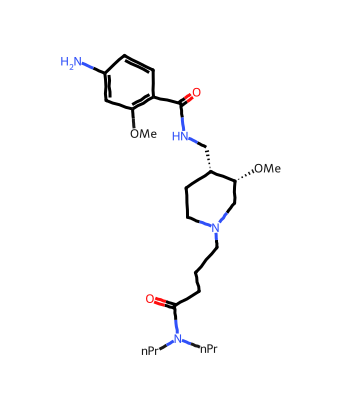 CCCN(CCC)C(=O)CCCN1CC[C@H](CNC(=O)c2ccc(N)cc2OC)[C@H](OC)C1